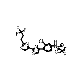 O=S(=O)(Nc1ccc(-c2csc(-c3csc(CCC(F)(F)F)n3)n2)c(Cl)c1)C(F)(F)F